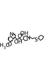 COc1ccc2nccc([C@@H](O)CC[C@@H]3CCN(CCCSC4CCCCC4)C[C@@H]3C(=O)O)c2c1